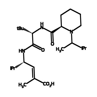 C/C(=C\[C@@H](NC(=O)[C@@H](NC(=O)[C@H]1CCCCN1C(C)C(C)C)C(C)(C)C)C(C)C)C(=O)O